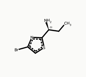 CC[C@H](N)c1nc(Br)cs1